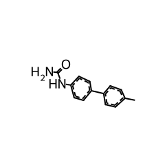 Cc1ccc(-c2ccc(NC(N)=O)cc2)cc1